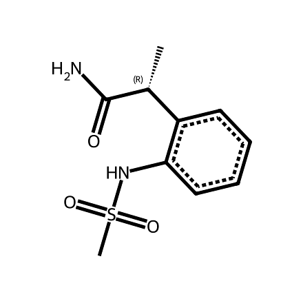 C[C@@H](C(N)=O)c1ccccc1NS(C)(=O)=O